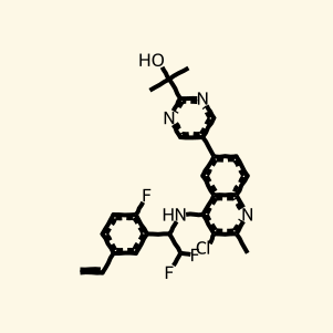 C=Cc1ccc(F)c(C(Nc2c(Cl)c(C)nc3ccc(-c4cnc(C(C)(C)O)nc4)cc23)C(F)F)c1